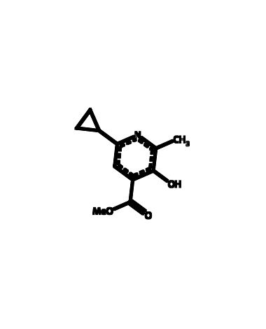 COC(=O)c1cc(C2CC2)nc(C)c1O